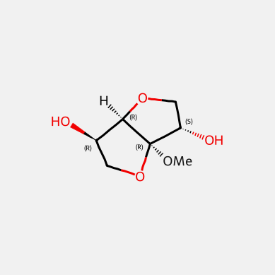 CO[C@]12OC[C@@H](O)[C@H]1OC[C@@H]2O